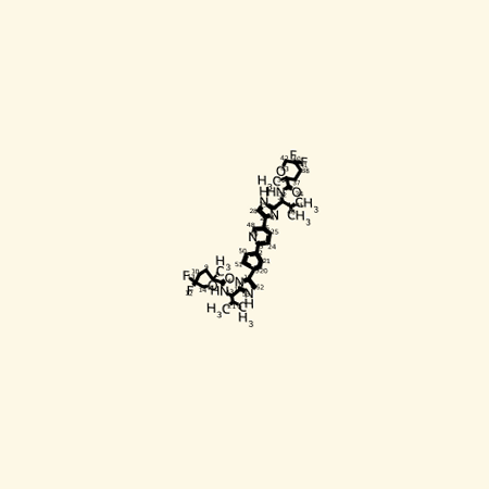 CC(C)C(NC(=O)[C@@]1(C)CCC(F)(F)CO1)c1nc(-c2ccc(-c3ccc(-c4c[nH]c(C(NC(=O)[C@@]5(C)CCC(F)(F)CO5)C(C)C)n4)cn3)cc2)c[nH]1